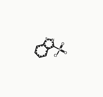 O=S(=O)(Cl)c1nsc2ccccc12